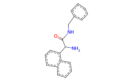 NC(C(=O)NCc1ccccc1)c1cccc2ccccc12